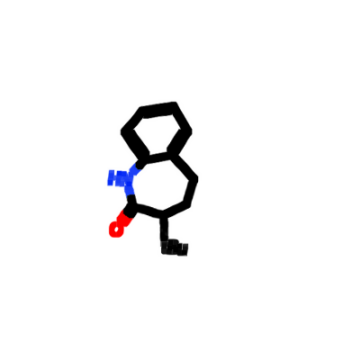 CC(C)(C)C1CCc2ccccc2NC1=O